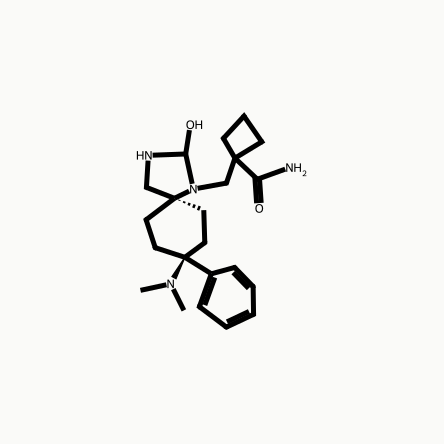 CN(C)[C@]1(c2ccccc2)CC[C@]2(CC1)CNC(O)N2CC1(C(N)=O)CCC1